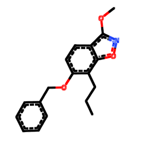 CCCc1c(OCc2ccccc2)ccc2c(OC)noc12